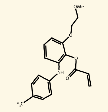 C=CC(=O)Oc1c(Nc2ccc(C(F)(F)F)cc2)cccc1OCCOC